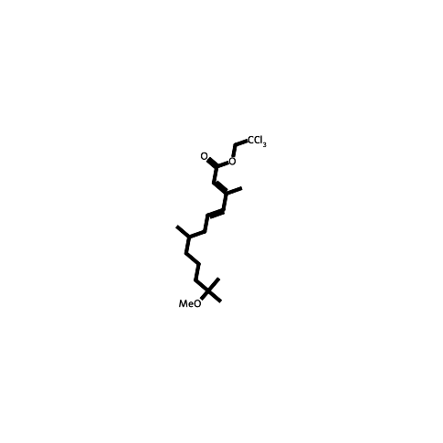 COC(C)(C)CCCC(C)CC=CC(C)=CC(=O)OCC(Cl)(Cl)Cl